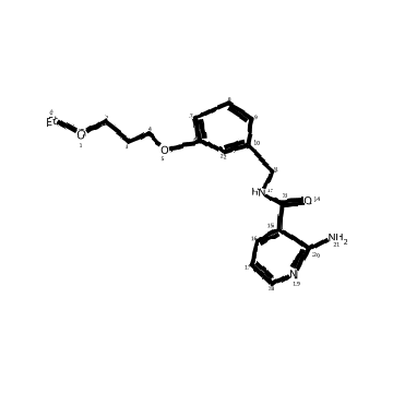 CCOCCCOc1cccc(CNC(=O)c2cccnc2N)c1